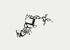 Cc1c(F)cc(-c2cnc3[nH]cc(C(=O)c4c(F)ccc(NS(=O)(=O)N5CC[C@@H](F)C5)c4F)c3c2)cc1F